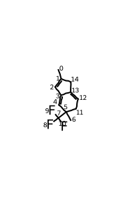 CC1=CC2=CC(C)(C(F)(F)F)CC=C2C1